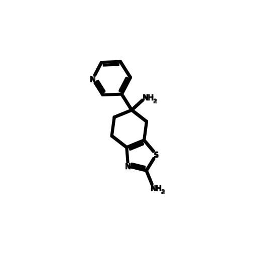 Nc1nc2c(s1)CC(N)(c1cccnc1)CC2